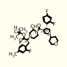 Cc1cc(F)c(C[C@@H](C(=O)OC(C)(C)C)N2CCN(C(=O)[C@@H]3CN(C4CCOCC4)C[C@H]3c3ccc(F)cc3F)[C@@H](C)C2)c(F)c1